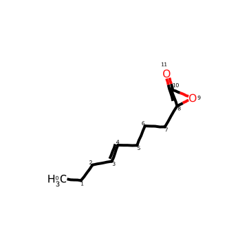 CCCC=CCCCC1OC1=O